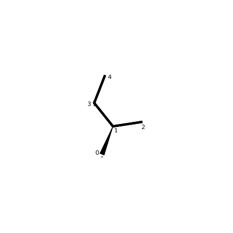 [CH2][C@H](C)[CH]C